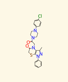 Cc1nn(-c2ccccc2)c2c1N(CC(=O)N1CCN(c3ccc(Cl)cc3)CC1)C(=O)CS2